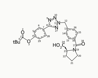 CC(C)(C)C(=O)Oc1ccc(-c2nnn(Cc3ccc(C(=O)N4CCC[C@H]4C(=O)O)cc3)n2)cc1